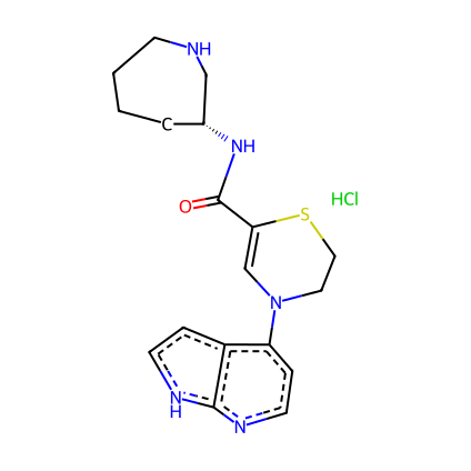 Cl.O=C(N[C@@H]1CCCCNC1)C1=CN(c2ccnc3[nH]ccc23)CCS1